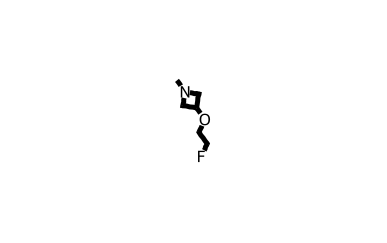 CN1CC(OCCF)C1